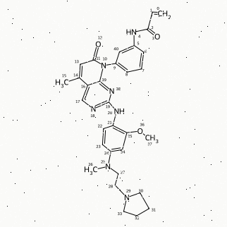 C=CC(=O)Nc1cccc(-n2c(=O)cc(C)c3cnc(Nc4ccc(N(C)CCN5CCCC5)cc4OC)nc32)c1